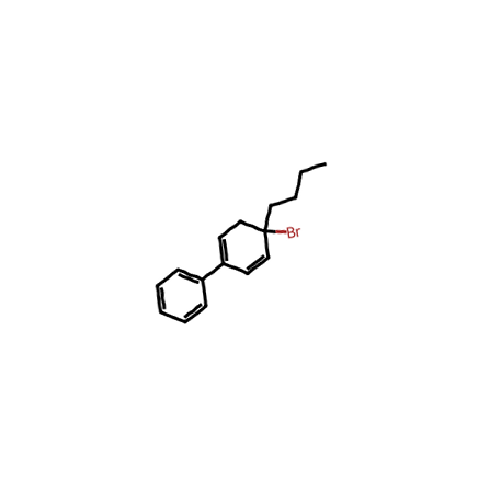 CCCCC1(Br)C=CC(c2ccccc2)=CC1